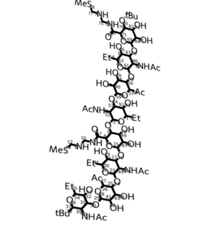 CCC1OC(OC2C(C(=O)NCNCSC)OC(OC3C(O)C(CC)OC(OC4C(C(C)=O)OC(OC5C(O)C(CC)OC(C(C)(C)C)C5NC(C)=O)C(O)C4O)C3NC(C)=O)C(O)C2O)C(NC(C)=O)C(OC2OC(C(C)=O)C(OC3OC(CC)C(O)C(OC4OC(C(=O)NCNCSC)C(OC(C)(C)C)C(O)C4O)C3NC(C)=O)C(O)C2O)C1O